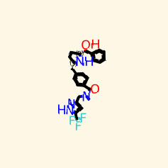 CN(Cc1cc(C(F)(F)F)[nH]n1)C(=O)c1ccc(C[C@@H]2CC[C@H](C(O)c3ccccc3)N2)cc1